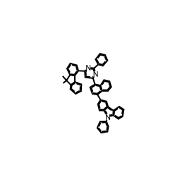 CC1(C)c2ccccc2-c2c(-c3cc(-c4ccc(-c5ccc6c(c5)c5ccccc5n6-c5ccccc5)c5ccccc45)nc(-c4ccccc4)n3)cccc21